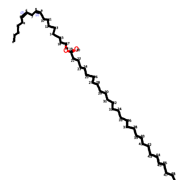 CCCCC/C=C\C/C=C\CCCCCCCCOC(=O)CCCCCCCCCCCCCCCCCCCCCCCCCCCCCC